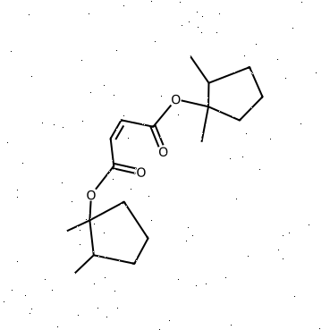 CC1CCCC1(C)OC(=O)/C=C\C(=O)OC1(C)CCCC1C